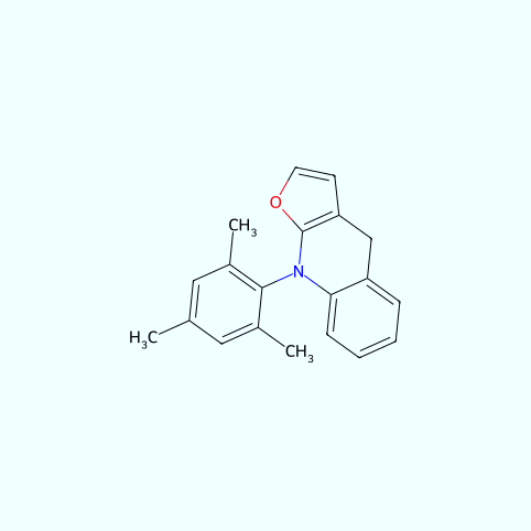 Cc1cc(C)c(N2c3ccccc3Cc3ccoc32)c(C)c1